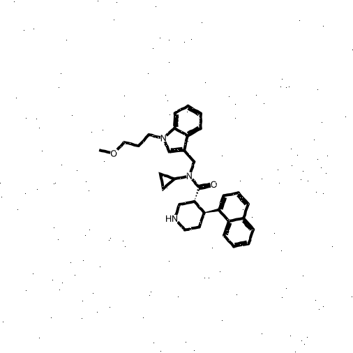 COCCCn1cc(CN(C(=O)[C@H]2CNCC[C@@H]2c2cccc3ccccc23)C2CC2)c2ccccc21